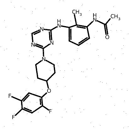 CC(=O)Nc1cccc(Nc2ncnc(N3CCC(Oc4cc(F)c(F)cc4F)CC3)n2)c1C